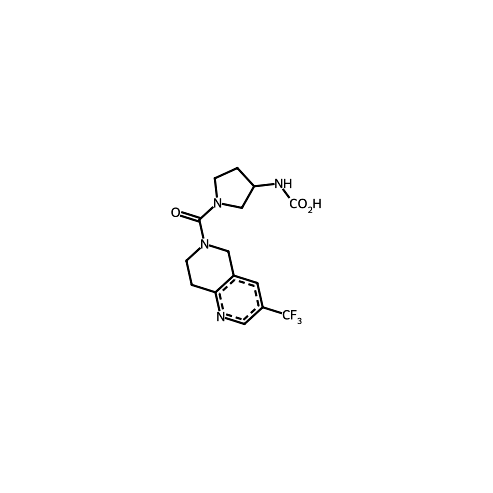 O=C(O)NC1CCN(C(=O)N2CCc3ncc(C(F)(F)F)cc3C2)C1